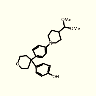 COC(OC)C1CCN(c2ccc(C3(c4ccc(O)cc4)CCOCC3)cc2)CC1